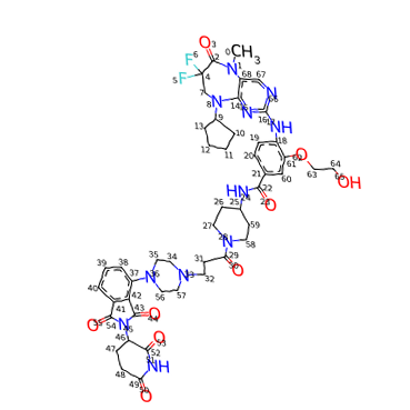 CN1C(=O)C(F)(F)CN(C2CCCC2)c2nc(Nc3ccc(C(=O)NC4CCN(C(=O)CCN5CCN(c6cccc7c6C(=O)N(C6CCC(=O)NC6=O)C7=O)CC5)CC4)cc3OCCO)ncc21